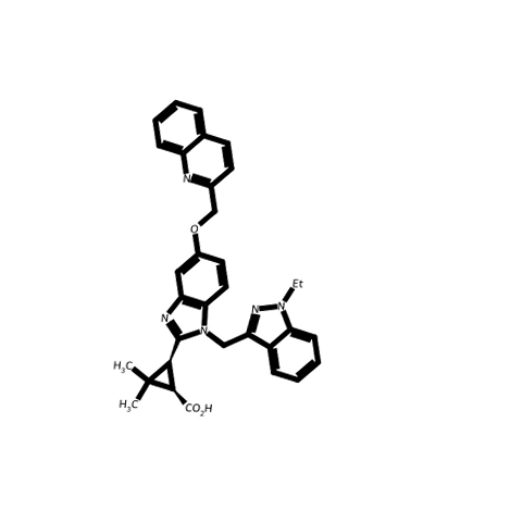 CCn1nc(Cn2c([C@H]3[C@@H](C(=O)O)C3(C)C)nc3cc(OCc4ccc5ccccc5n4)ccc32)c2ccccc21